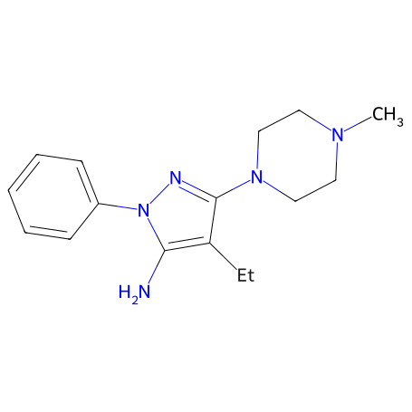 [CH2]Cc1c(N2CCN(C)CC2)nn(-c2ccccc2)c1N